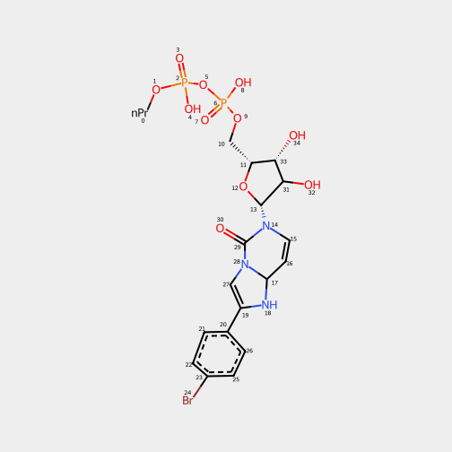 CCCOP(=O)(O)OP(=O)(O)OC[C@H]1O[C@@H](N2C=CC3NC(c4ccc(Br)cc4)=CN3C2=O)C(O)[C@H]1O